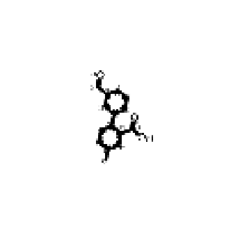 Cc1ccc(-c2cccc(C=O)c2)c(C(=O)O)c1